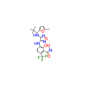 Cc1ccc([C@H](Nc2nonc2Nc2ccc(C(F)(F)F)c(C(=O)N(C)C)c2O)C(C)(C)C)o1